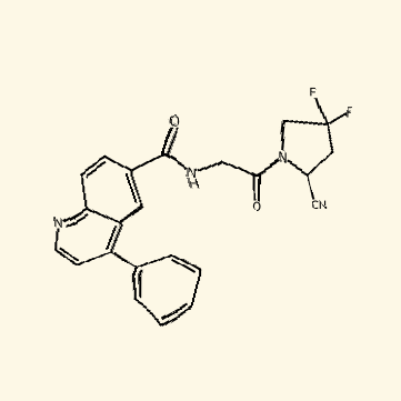 N#CC1CC(F)(F)CN1C(=O)CNC(=O)c1ccc2nccc(-c3ccccc3)c2c1